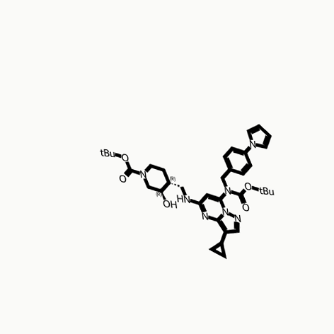 CC(C)(C)OC(=O)N1CC[C@H](CNc2cc(N(Cc3ccc(-n4cccc4)cc3)C(=O)OC(C)(C)C)n3ncc(C4CC4)c3n2)[C@@H](O)C1